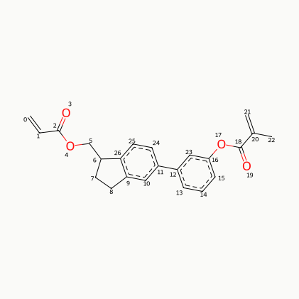 C=CC(=O)OCC1CCc2cc(-c3cccc(OC(=O)C(=C)C)c3)ccc21